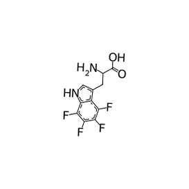 NC(Cc1c[nH]c2c(F)c(F)c(F)c(F)c12)C(=O)O